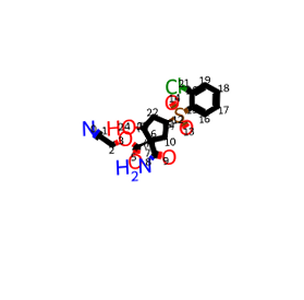 N#CCOC(=O)[C@]1(C(N)=O)C[C@H](S(=O)(=O)c2ccccc2Cl)C[C@H]1O